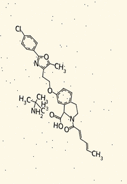 CC(C)(C)N.CC=CC=CC(=O)N1CCc2ccc(OCCc3nc(-c4ccc(Cl)cc4)oc3C)cc2C1C(=O)O